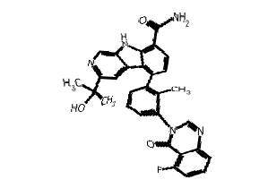 Cc1c(-c2ccc(C(N)=O)c3[nH]c4cnc(C(C)(C)O)cc4c23)cccc1-n1cnc2cccc(F)c2c1=O